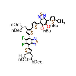 CCCCCCCCCCC(CCCCCCCC)Cc1cc(-c2c(F)c(F)c(-c3cc(CC(CCCCCCCC)CCCCCCCCCC)c(-c4ccc(-c5c(OCCCC)c(OCCCC)c(-c6ccc(C)s6)c6nsnc56)s4)s3)c3nsnc23)sc1C